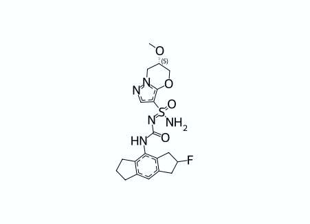 CO[C@@H]1COc2c(S(N)(=O)=NC(=O)Nc3c4c(cc5c3CC(F)C5)CCC4)cnn2C1